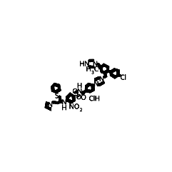 CC1(CN2CCNCC2)CCC(c2ccc(Cl)cc2)=C(CN2CCN(c3ccc(C(=O)NS(=O)(=O)c4ccc(NC(CCN5CCC5)CSc5ccccc5)c([N+](=O)[O-])c4)cc3)CC2)C1.Cl